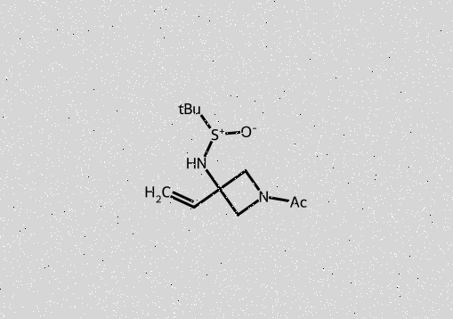 C=CC1(N[S+]([O-])C(C)(C)C)CN(C(C)=O)C1